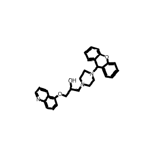 OC(COc1cccc2ncccc12)CN1CCN(C2c3ccccc3Oc3ccccc32)CC1